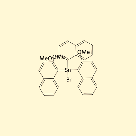 COc1ccc2ccccc2[c]1[Sn]([Br])([c]1c(OC)ccc2ccccc12)[c]1c(OC)ccc2ccccc12